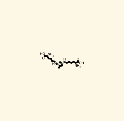 Cc1c[n+](NCCCC[C@H](N)C(=O)O)cn1NCCCC[C@H](N)C(=O)O